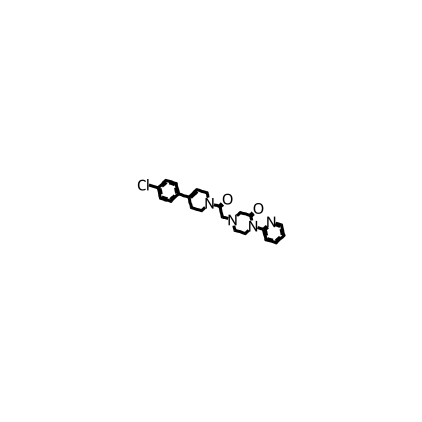 O=C(CN1CCN(c2ccccn2)C(=O)C1)N1CC=C(c2ccc(Cl)cc2)CC1